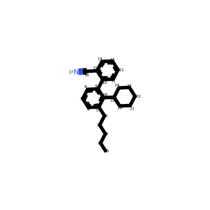 CCCCCc1cccc(-c2ccccc2C#N)c1C1CCCCC1